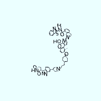 Cc1c(OC2CCC(CCCN3CCC(c4ccc5c(C6CCC(=O)NC6=O)nn(C)c5c4)CC3)CC2)cccc1-c1ccc(N2CCc3cccc(C(=O)Nc4nc5ccccc5s4)c3C2)nc1C(=O)O